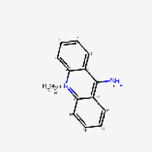 Nc1c2ccccc2nc2ccccc12.[PbH2]